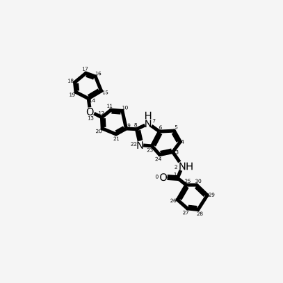 O=C(Nc1ccc2[nH]c(-c3ccc(Oc4ccccc4)cc3)nc2c1)c1ccccc1